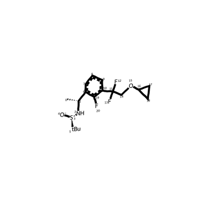 C[C@@H](N[S@+]([O-])C(C)(C)C)c1cccc(C(F)(F)COC2CC2)c1F